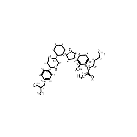 C1CCCCC1.C1CCOC1.C1COCCO1.CCCCOC(C)=O.Cc1ccccc1.ClC(Cl)Cl.c1ccccc1